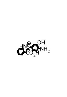 Nc1ccc(S(=O)(=O)Nc2ccccc2C(=O)O)cc1O